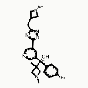 CC(=O)N1CC(Cc2noc(-c3cncc([C@@](O)(c4ccc(C(C)C)cc4)C4(C)CN(C)C4)c3)n2)C1